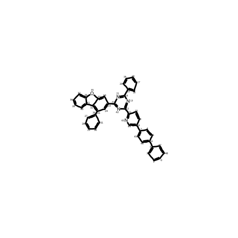 c1ccc(-c2ccc(-c3ccc(-c4nc(-c5ccccc5)nc(-c5cc(-c6ccccc6)c6c(c5)oc5ccccc56)n4)nc3)cc2)cc1